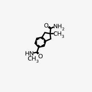 CNC(=O)c1ccc2c(c1)CC(C)(C(N)=O)C2